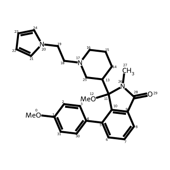 COc1ccc(-c2cccc3c2C(OC)(C2CCCN(CCn4cccc4)C2)N(C)C3=O)cc1